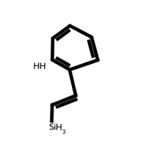 [HH].[SiH3]C=Cc1ccccc1